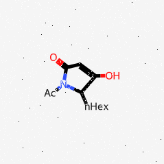 CCCCCCC1C(O)=CC(=O)N1C(C)=O